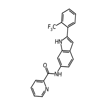 O=C(Nc1ccc2cc(-c3ccccc3C(F)(F)F)[nH]c2c1)c1ccccn1